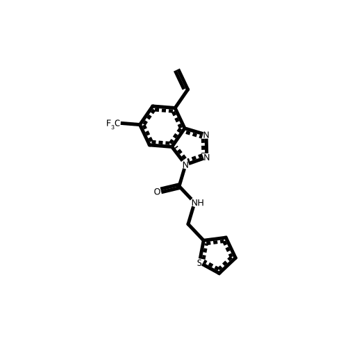 C=Cc1cc(C(F)(F)F)cc2c1nnn2C(=O)NCc1cccs1